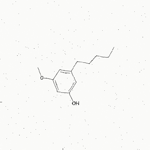 CCCCCc1cc(O)cc(OC)c1